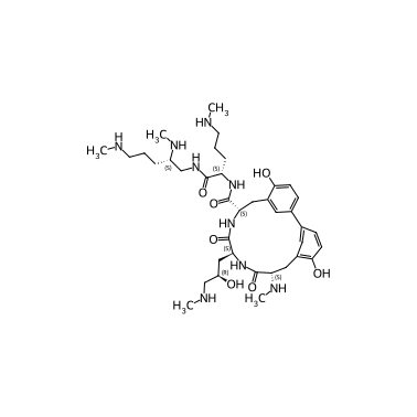 CNCCC[C@@H](CNC(=O)[C@H](CCCNC)NC(=O)[C@@H]1Cc2cc(ccc2O)-c2ccc(O)c(c2)C[C@H](NC)C(=O)N[C@@H](C[C@@H](O)CNC)C(=O)N1)NC